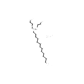 CCCCCCCCCCCCCCN(OCCO)OCCO.[NaH]